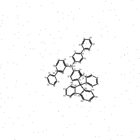 Brc1ccccc1C1(c2ccc(N(c3ccc(-c4ccccc4)cc3)c3cccc(-c4ccccc4)c3)cc2)c2ccccc2-c2ccccc21